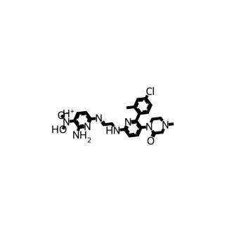 Cc1cc(Cl)ccc1-c1nc(NCC=Nc2ccc([NH+]([O-])O)c(N)n2)ccc1N1CCN(C)CC1=O